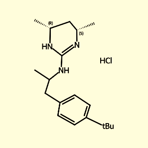 CC(Cc1ccc(C(C)(C)C)cc1)NC1=N[C@@H](C)C[C@@H](C)N1.Cl